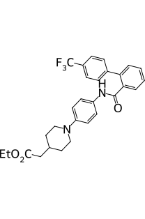 CCOC(=O)CC1CCN(c2ccc(NC(=O)c3ccccc3-c3ccc(C(F)(F)F)cc3)cc2)CC1